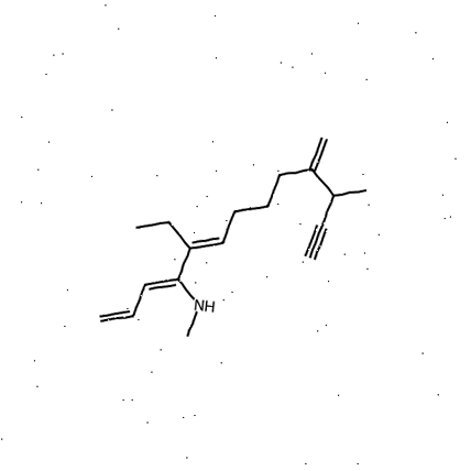 C#CC(C)C(=C)CCC/C=C(CC)/C(=C/C=C)NC